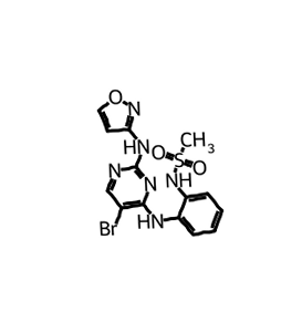 CS(=O)(=O)Nc1ccccc1Nc1nc(Nc2ccon2)ncc1Br